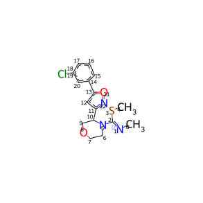 C/N=C(\SC)N1CCOCC1c1cc(-c2cccc(Cl)c2)on1